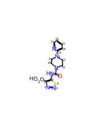 O=C(O)c1nnsc1NC(=O)N1CCN(c2ccccn2)CC1